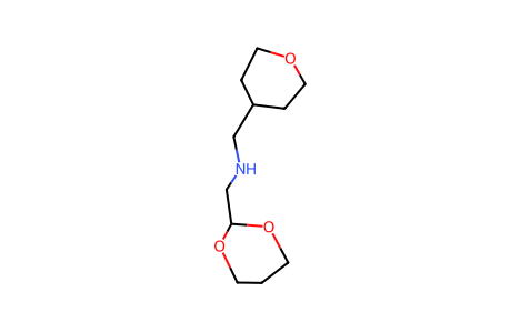 C1COC(CNCC2CCOCC2)OC1